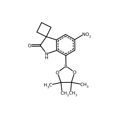 CC1(C)OB(c2cc([N+](=O)[O-])cc3c2NC(=O)C32CCC2)OC1(C)C